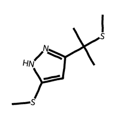 CSc1cc(C(C)(C)SC)n[nH]1